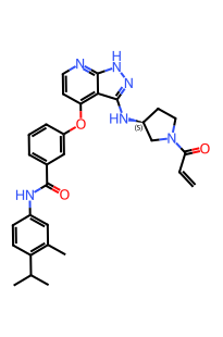 C=CC(=O)N1CC[C@H](Nc2n[nH]c3nccc(Oc4cccc(C(=O)Nc5ccc(C(C)C)c(C)c5)c4)c23)C1